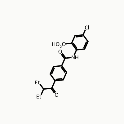 CCC(CC)C(=O)c1ccc(C(=O)Nc2ccc(Cl)cc2C(=O)O)cc1